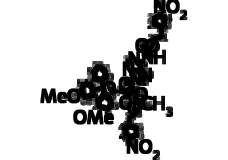 COc1ccc(C(OC[C@H]2O[C@@H](n3cnc4c(NC(=O)OCCc5ccc([N+](=O)[O-])cc5)ncnc43)[C@H](OC(C)OCCc3ccc([N+](=O)[O-])cc3)[C@@H]2O)(c2ccccc2)c2ccc(OC)cc2)cc1